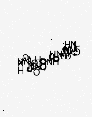 CC[C@H](NC(=O)[C@H](C)NC)C(=O)N1CCC[C@H]1C(=O)NC1CCCc2c(Nc3cccc4c3CCC[C@H]4NC(=O)[C@@H]3CCCN3C(=O)[C@H](CC)NC(=O)[C@H](C)NC)cccc21